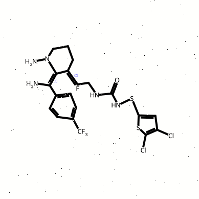 N/C(=C1/C(=C(\F)CNC(=O)NSc2cc(Cl)c(Cl)s2)CCCN1N)c1ccc(C(F)(F)F)cc1